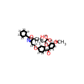 COc1ccc(C(=O)c2ccc(OCCc3nc(-c4ccccc4)oc3C)cc2)c(O[C@H](C)C(=O)O)c1